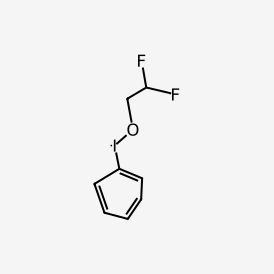 FC(F)CO[I]c1ccccc1